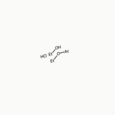 CCO.CCOC(C)=O.Cl